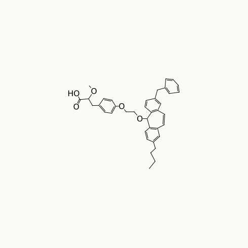 CCCCc1ccc2c(c1)C=Cc1cc(Cc3ccccc3)ccc1C2OCCOc1ccc(CC(OC)C(=O)O)cc1